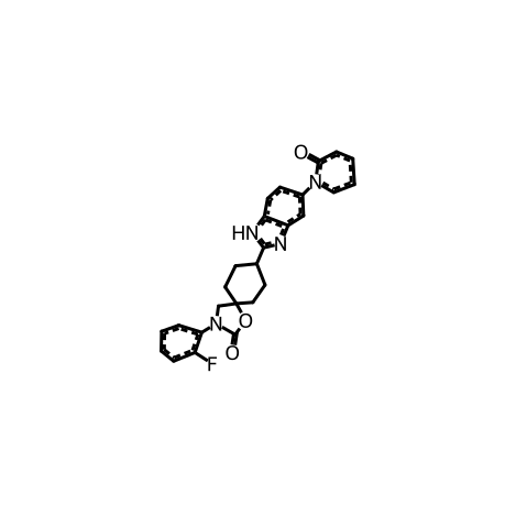 O=C1OC2(CCC(c3nc4cc(-n5ccccc5=O)ccc4[nH]3)CC2)CN1c1ccccc1F